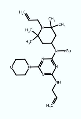 C=CCNc1nc(N2CCOCC2)nc(N(CCCC)C2CC(C)(C)N(CC=C)C(C)(C)C2)n1